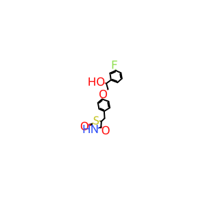 O=C1NC(=O)C(Cc2ccc(OC[C@@H](O)c3cccc(F)c3)cc2)S1